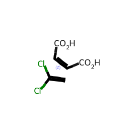 C=C(Cl)Cl.O=C(O)/C=C\C(=O)O